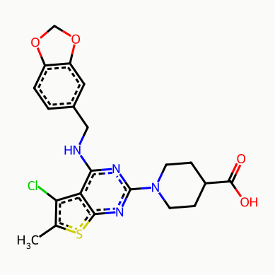 Cc1sc2nc(N3CCC(C(=O)O)CC3)nc(NCc3ccc4c(c3)OCO4)c2c1Cl